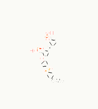 COc1ccc(S(=O)(=O)c2ccc(Oc3ccc(C(C)(C)c4ccc(C)c(CP(C)(=O)O)c4)cc3CP(C)(=O)O)cc2)cc1